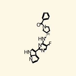 O=C(c1ccccc1)N1CC[C@H](CNc2nc(-c3c[nH]c4ncccc34)ncc2F)C1